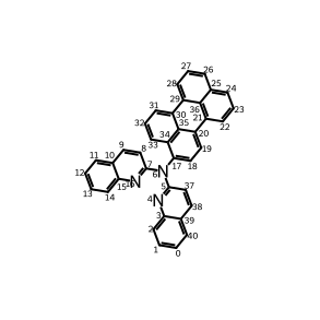 c1ccc2nc(N(c3ccc4ccccc4n3)c3ccc4c5cccc6cccc(c7cccc3c74)c65)ccc2c1